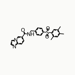 Cc1cc(C)c(S(=O)(=O)c2ccc(CNC(=O)c3ccc4nccn4c3)cc2)cc1C